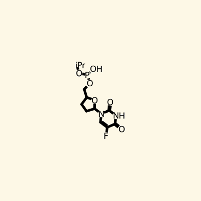 CC(C)OP(O)OCC1CCC(n2cc(F)c(=O)[nH]c2=O)O1